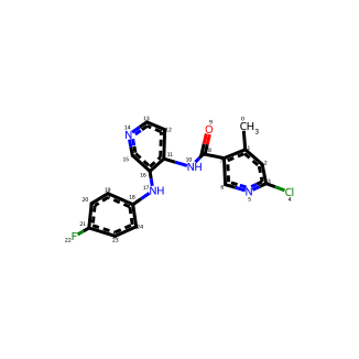 Cc1cc(Cl)ncc1C(=O)Nc1ccncc1Nc1ccc(F)cc1